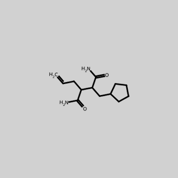 C=CCC(C(N)=O)C(CC1CCCC1)C(N)=O